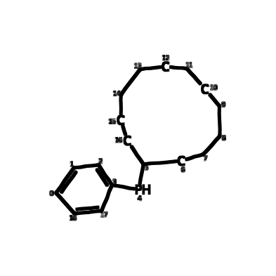 c1ccc(PC2CCCCCCCCCCC2)cc1